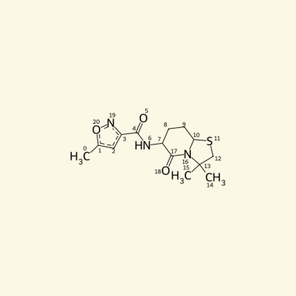 Cc1cc(C(=O)NC2CCC3SCC(C)(C)N3C2=O)no1